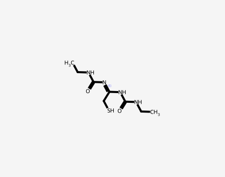 CCNC(=O)/N=C(\CS)NC(=O)NCC